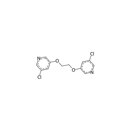 Clc1cncc(OCCOc2cncc(Cl)c2)c1